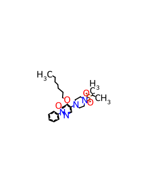 CCCCCCCOc1c(N2CCN(S(=O)(=O)C(C)C)CC2)cnn(-c2ccccc2)c1=O